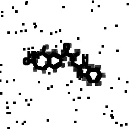 CC1NC(=O)CCc2ccc(C(=O)N(C)Cc3nc4ccccc4[nH]3)cc21